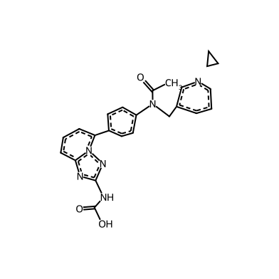 C1CC1.CC(=O)N(Cc1cccnc1)c1ccc(-c2cccc3nc(NC(=O)O)nn23)cc1